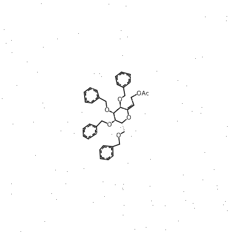 CC(=O)OC/C=C1/O[C@H](COCc2ccccc2)[C@@H](OCc2ccccc2)[C@@H](OCc2ccccc2)[C@H]1OCc1ccccc1